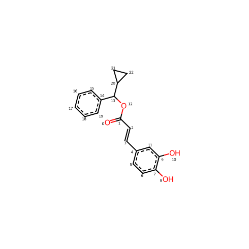 O=C(C=Cc1ccc(O)c(O)c1)OC(c1ccccc1)C1CC1